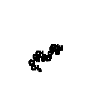 COC(CO[C@@H]1CCC[C@H](OCc2nc(-c3cccc(C)c3)oc2C)C1)C(=O)O